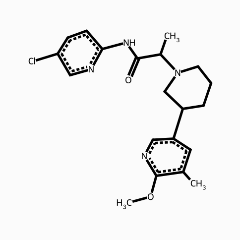 COc1ncc(C2CCCN(C(C)C(=O)Nc3ccc(Cl)cn3)C2)cc1C